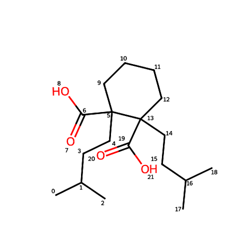 CC(C)CCC1(C(=O)O)CCCCC1(CCC(C)C)C(=O)O